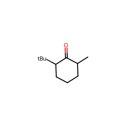 CC1CCCC(C(C)(C)C)C1=O